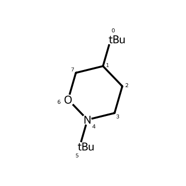 CC(C)(C)C1CCN(C(C)(C)C)OC1